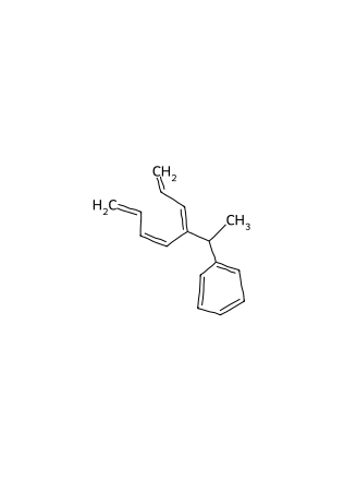 C=C/C=C\C(=C/C=C)C(C)c1ccccc1